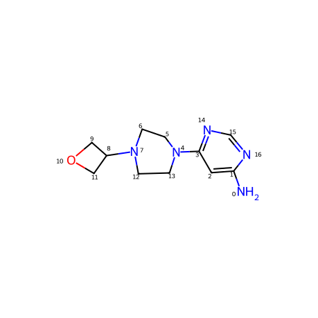 Nc1cc(N2CCN(C3COC3)CC2)ncn1